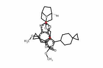 COC(=O)c1cc(OC)c2nc(N3C4CC[C@H]3CC(OCc3c(C5CCC6(CC5)CC6)noc3C3CC3)C4)sc2c1